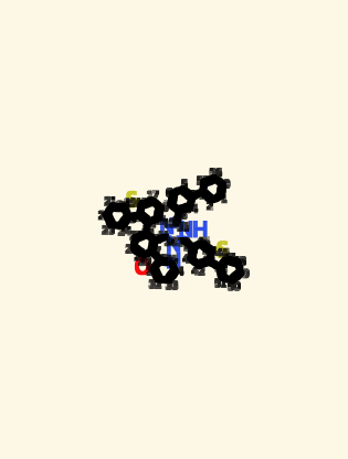 c1ccc(-c2cccc(C3=NC(c4c(-c5cccc6sc7ccccc7c56)ccc5oc6ccccc6c45)NC(c4ccc5c(c4)sc4ccccc45)N3)c2)cc1